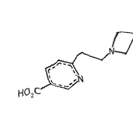 O=C(O)c1ccc(CCN2CCC2)nc1